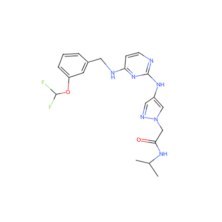 CC(C)NC(=O)Cn1cc(Nc2nccc(NCc3cccc(OC(F)F)c3)n2)cn1